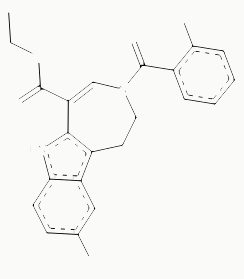 CCOC(=O)C1=CN(C(=O)c2ccccc2F)CCc2c1[nH]c1ccc(Cl)cc21